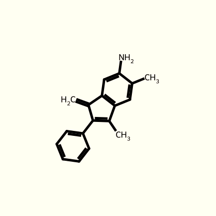 C=C1C(c2ccccc2)=C(C)c2cc(C)c(N)cc21